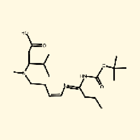 CCC/C(=N\C=C/CCN(C)C(CC(=O)O)C(C)C)NC(=O)OC(C)(C)C